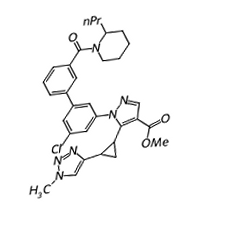 CCCC1CCCCN1C(=O)c1cccc(-c2cc(Cl)cc(-n3ncc(C(=O)OC)c3C3CC3c3cn(C)nn3)c2)c1